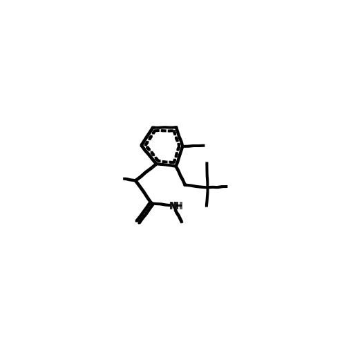 C=C(NC)C(C)c1cccc(C)c1CC(C)(C)C